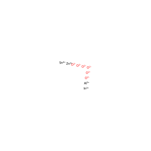 [Al+3].[In+3].[O-2].[O-2].[O-2].[O-2].[O-2].[O-2].[Sn+4].[Zn+2]